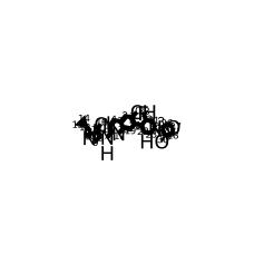 Cc1cc2cnc(Nc3cnn(C4CC4)c3Cl)nc2cc1C1CCN(C2COC[C@H]2O)CC1F